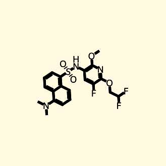 COc1nc(OCC(F)F)c(F)cc1NS(=O)(=O)c1cccc2c(N(C)C)cccc12